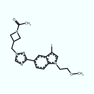 COCCn1cc(I)c2cc(-c3ncn(CC4CN(C(C)=O)C4)n3)ccc21